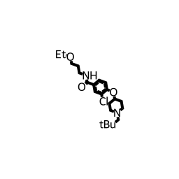 CCOCCCNC(=O)c1ccc(OC2CCN(CC(C)(C)C)CC2)c(Cl)c1